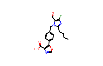 CCCCc1nc(Cl)c(C=O)n1Cc1ccc(-c2ocnc2C(=O)O)cc1